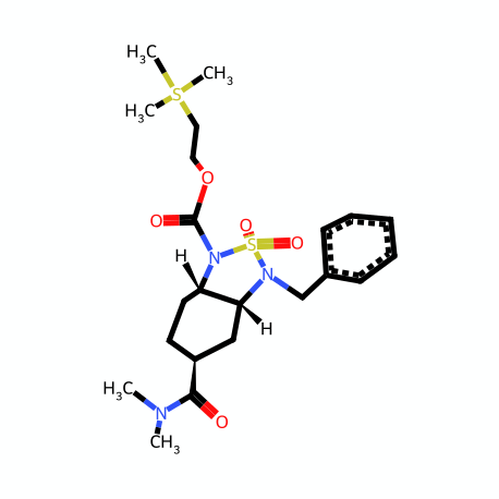 CN(C)C(=O)[C@H]1CC[C@H]2[C@@H](C1)N(Cc1ccccc1)S(=O)(=O)N2C(=O)OCCS(C)(C)C